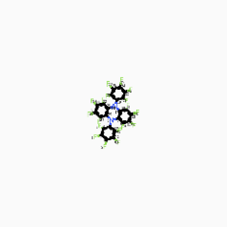 Fc1c(F)c(F)c(N2c3c(F)c(F)c(F)c(F)c3N(c3c(F)c(F)c(F)c(F)c3F)c3c(F)c(F)c(F)c(F)c32)c(F)c1F